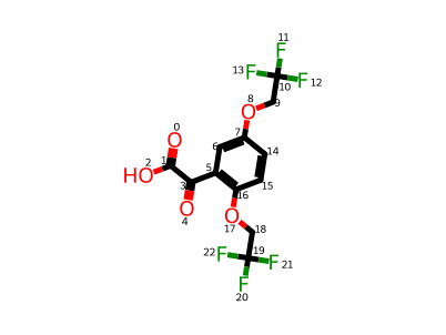 O=C(O)C(=O)c1cc(OCC(F)(F)F)ccc1OCC(F)(F)F